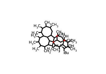 CCC(C)C(C)C(C)C(C)C(O)CC(CO)C1C(C)C2C(C)C(C)C(C)C(C)C3C(C)C(C)C(C)C(C)CC(C4CC(C)C(I)C(CO)C(C)CC4C)C3C12